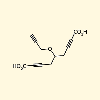 C#CCOC(CC#CC(=O)O)CC#CC(=O)O